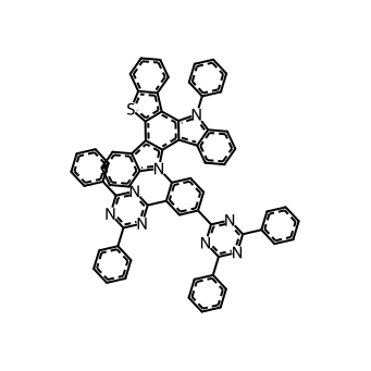 c1ccc(-c2nc(-c3ccccc3)nc(-c3ccc(-n4c5ccccc5c5c6sc7ccccc7c6c6c(c7ccccc7n6-c6ccccc6)c54)c(-c4nc(-c5ccccc5)nc(-c5ccccc5)n4)c3)n2)cc1